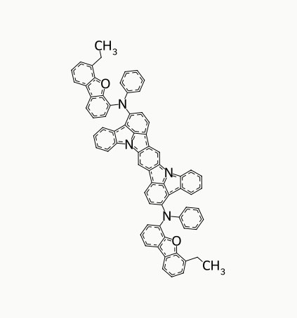 CCc1cccc2c1oc1c(N(c3ccccc3)c3ccc4c5cc6c(cc5n5c7ccccc7c3c45)c3ccc(N(c4ccccc4)c4cccc5c4oc4c(CC)cccc45)c4c5ccccc5n6c34)cccc12